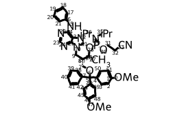 COc1ccc(C(OC[C@H](Cn2cnc3c(Nc4ccccc4)ncnc32)[C@@H](C)OP(OCCC#N)N(C(C)C)C(C)C)(c2ccccc2)c2ccc(OC)cc2)cc1